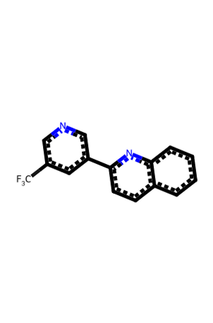 FC(F)(F)c1cncc(-c2ccc3ccccc3n2)c1